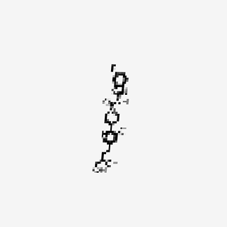 O=C(Nc1nc2ccc(F)cc2s1)N1CC=C(c2ncc(CC[C@@H](O)CO)cc2Cl)CC1